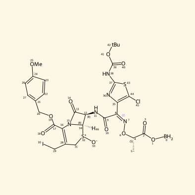 BOC(=O)[C@H](C)O/N=C(\C(=O)N[C@@H]1C(=O)N2C(C(=O)OCc3ccc(OC)cc3)=C(CI)C[S+]([O-])[C@H]12)c1nc(NC(=O)OC(C)(C)C)sc1Cl